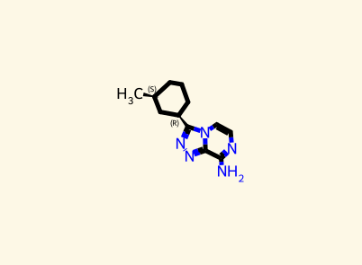 C[C@H]1CCC[C@@H](c2nnc3c(N)nccn23)C1